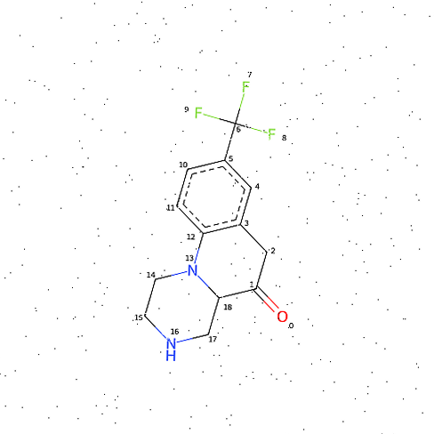 O=C1Cc2cc(C(F)(F)F)ccc2N2CCNCC12